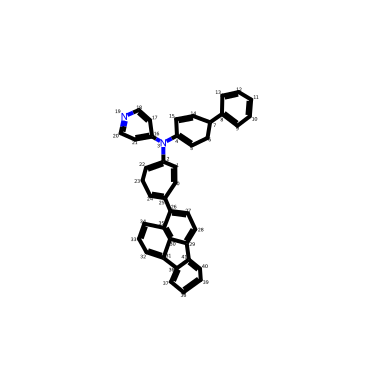 C1=CC(N(C2=CCC(c3ccccc3)C=C2)c2ccncc2)=CCC=C1c1ccc2c3c(cccc13)-c1ccccc1-2